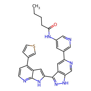 CCCCC(=O)Nc1cncc(-c2cc3c(-c4cc5c(-c6ccsc6)ccnc5[nH]4)n[nH]c3cn2)c1